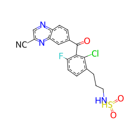 N#Cc1cnc2ccc(C(=O)c3c(F)ccc(CCCN[SH](=O)=O)c3Cl)cc2n1